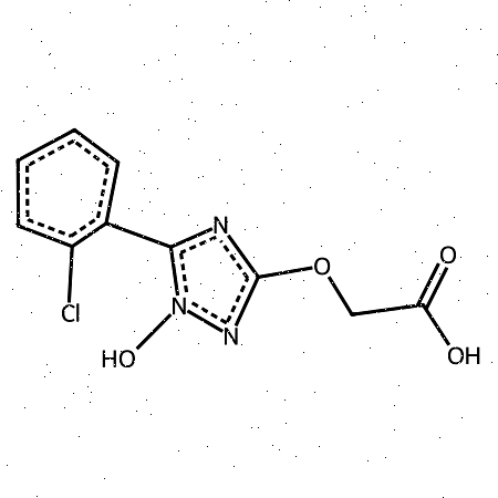 O=C(O)COc1nc(-c2ccccc2Cl)n(O)n1